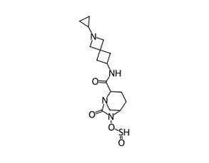 O=[SH]ON1C(=O)N2CC1CCC2C(=O)NC1CC2(C1)CN(C1CC1)C2